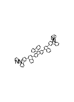 c1ccc(-n2c3ccccc3c3cc(-c4ccc(-c5ccc6c(c5)C5(c7ccccc7-c7ccccc75)c5cc(-c7ccc(-c8ccc9c(c8)c8ccccc8n9-c8ccccn8)c8ccccc78)ccc5-6)c5ccccc45)ccc32)nc1